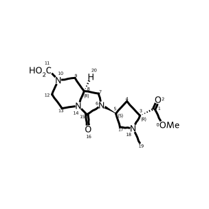 COC(=O)[C@H]1C[C@H](N2C[C@@H]3CN(C(=O)O)CCN3C2=O)CN1C